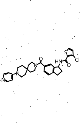 O=C(NC1CCc2ccc(C(=O)N3CCC4(CC3)CCN(c3ccncc3)CC4)cc21)c1sccc1Cl